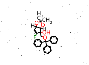 CC1(C)O[C@H]2C=C(F)[C@@](O)(COC(c3ccccc3)(c3ccccc3)c3ccccc3)[C@H]2O1